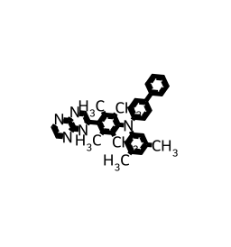 Cc1cc(C)cc(N(c2ccc(-c3ccccc3)cc2)c2c(C)c(C)c(-c3cnc4nccnc4n3)c(C)c2C)c1